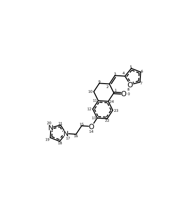 O=C1C(=Cc2ccco2)CCc2cc(OCCn3ccnc3)ccc21